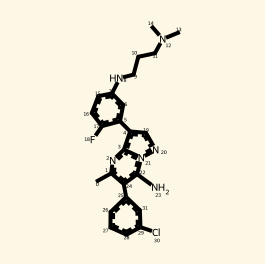 Cc1nc2c(-c3cc(NCCCN(C)C)ccc3F)cnn2c(N)c1-c1cccc(Cl)c1